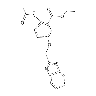 CCOC(=O)c1cc(OCc2nc3ccccc3s2)ccc1NC(C)=O